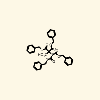 O=C(OCc1ccccc1)N(C(=O)OCc1ccccc1)C(C(=O)O)(C(=O)OCc1ccccc1)C(=O)OCc1ccccc1